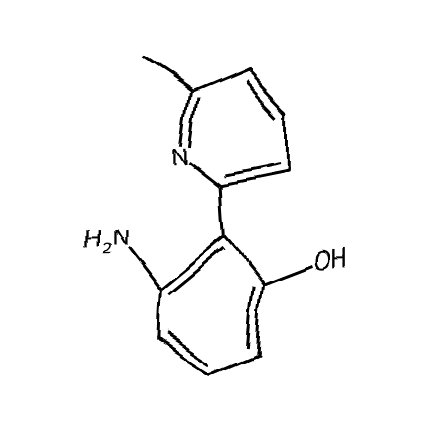 Cc1cccc(-c2c(N)cccc2O)n1